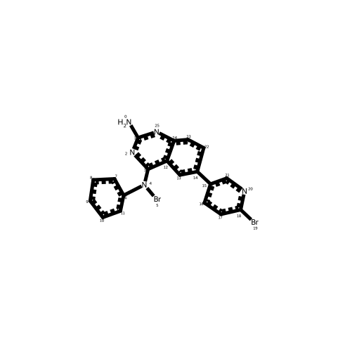 Nc1nc(N(Br)c2ccccc2)c2cc(-c3ccc(Br)nc3)ccc2n1